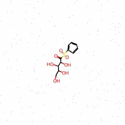 O=C(C(O)C(O)C(O)CO)S(=O)(=O)c1ccccc1